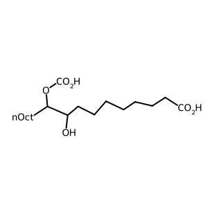 CCCCCCCCC(OC(=O)O)C(O)CCCCCCCC(=O)O